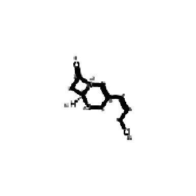 O=C1C[C@@H]2SCC(/C=C\CCl)=CN12